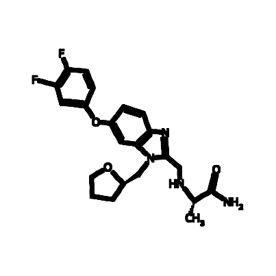 C[C@H](NCc1nc2ccc(Oc3ccc(F)c(F)c3)cc2n1C[C@H]1CCCO1)C(N)=O